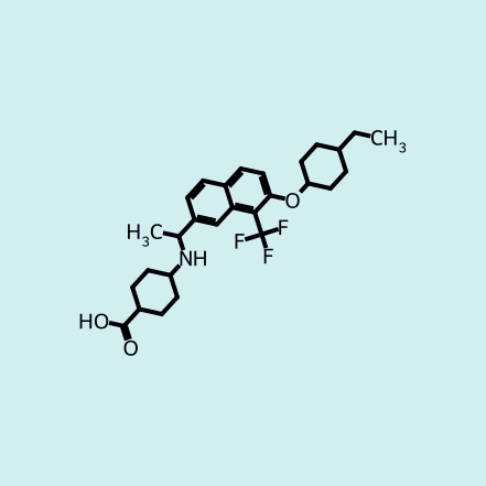 CCC1CCC(Oc2ccc3ccc(C(C)NC4CCC(C(=O)O)CC4)cc3c2C(F)(F)F)CC1